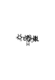 C[C@H](NC(=O)OCc1ccccc1)[C@H](O)c1nnn(C)n1